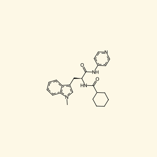 Cn1cc(C[C@H](NC(=O)C2CCCCC2)C(=O)Nc2ccncc2)c2ccccc21